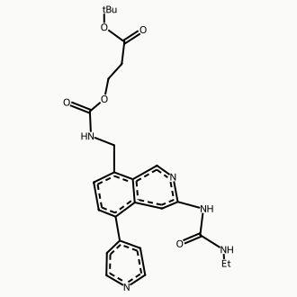 CCNC(=O)Nc1cc2c(-c3ccncc3)ccc(CNC(=O)OCCC(=O)OC(C)(C)C)c2cn1